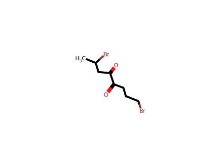 CC(Br)CC(=O)C(=O)CCCBr